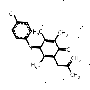 C=C(C)CC1=C(C)C(=Nc2ccc(Cl)cc2)C(C)=C(C)C1=O